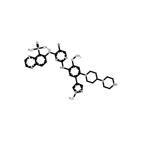 COc1cc(N2CCC(N3CCNCC3)CC2)c(-c2cnn(C)c2)cc1Nc1ncc(Br)c(Nc2ccc3nccnc3c2P(C)(C)=O)n1